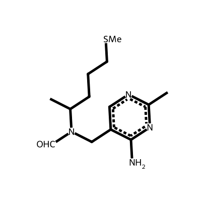 CSCCCC(C)N(C=O)Cc1cnc(C)nc1N